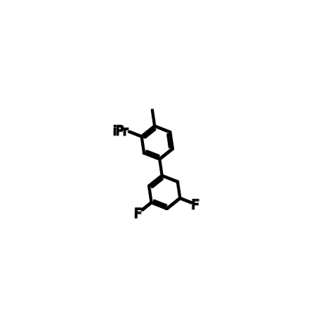 Cc1ccc(C2=CC(F)=CC(F)C2)cc1C(C)C